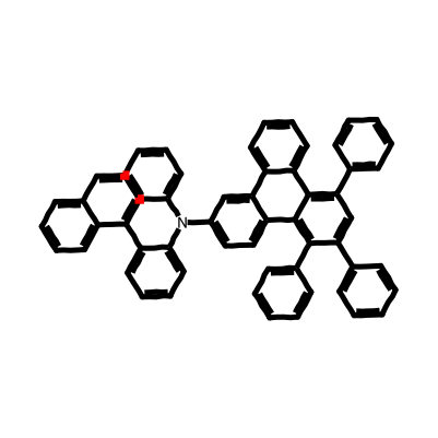 c1ccc(-c2cc(-c3ccccc3)c3c4ccccc4c4cc(N(c5ccccc5)c5ccccc5-c5cccc6ccccc56)ccc4c3c2-c2ccccc2)cc1